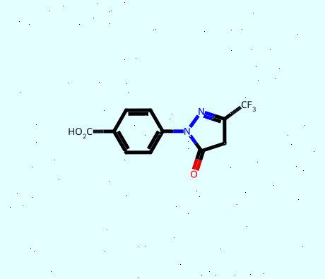 O=C(O)c1ccc(N2N=C(C(F)(F)F)CC2=O)cc1